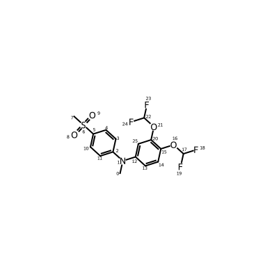 CN(c1ccc(S(C)(=O)=O)cc1)c1ccc(OC(F)F)c(OC(F)F)c1